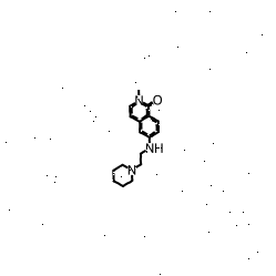 Cn1ccc2cc(NCCN3CCCCC3)ccc2c1=O